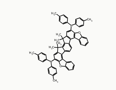 Cc1ccc(N(c2ccc(C)cc2)c2cc3c(c4c2oc2ccccc24)-c2ccc4c(c2C3(C)C)C(C)(C)c2cc(N(c3ccc(C)cc3)c3ccc(C)cc3)c3oc5ccccc5c3c2-4)cc1